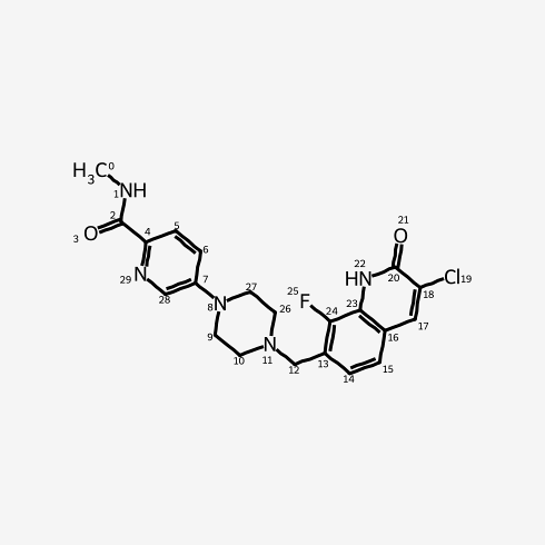 CNC(=O)c1ccc(N2CCN(Cc3ccc4cc(Cl)c(=O)[nH]c4c3F)CC2)cn1